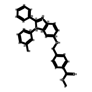 COC(=O)c1ccc(COc2ccc3nc(-c4ccccc4)n(-c4cccc(C)c4)c3c2)cc1